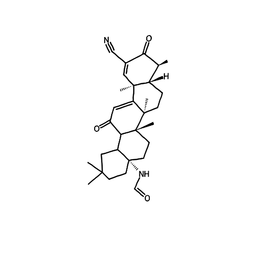 C[C@@H]1C(=O)C(C#N)=C[C@]2(C)C3=CC(=O)C4C5CC(C)(C)CC[C@]5(NC=O)CC[C@@]4(C)[C@]3(C)CC[C@@H]12